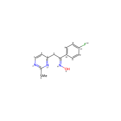 CSc1nccc(CC(=NO)c2ccc(F)cc2)n1